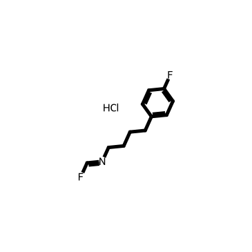 Cl.FC=NCCCCc1ccc(F)cc1